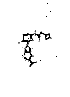 CC(C)c1cnc2nn(-c3cc(NC(=O)CC4CCC4)ccc3F)cc2c1